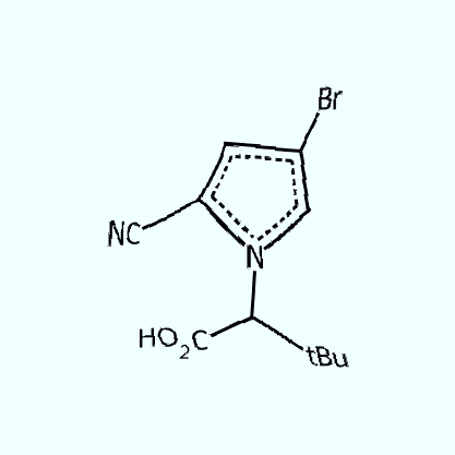 CC(C)(C)C(C(=O)O)n1cc(Br)cc1C#N